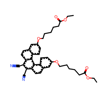 CCOC(=O)CCCCCOc1ccc2c(ccc3c(C#N)c(C#N)c4ccc5cc(OCCCCCC(=O)OCC)ccc5c4c32)c1